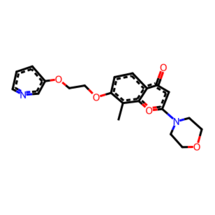 Cc1c(OCCOc2cccnc2)ccc2c(=O)cc(N3CCOCC3)oc12